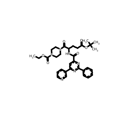 CCOC(=O)N1CCN(C(=O)C(CCC(=O)OC(C)(C)C)NC(=O)c2cc(-c3cccnc3)nc(-c3ccccc3)n2)CC1